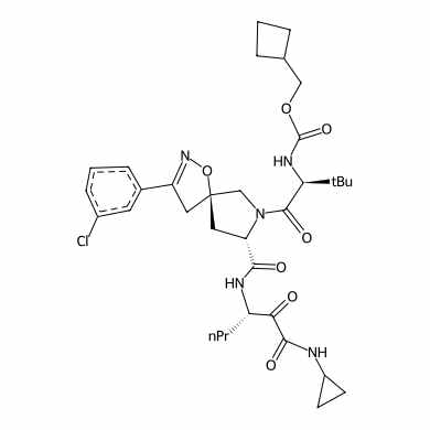 CCC[C@H](NC(=O)[C@@H]1C[C@]2(CC(c3cccc(Cl)c3)=NO2)CN1C(=O)[C@@H](NC(=O)OCC1CCC1)C(C)(C)C)C(=O)C(=O)NC1CC1